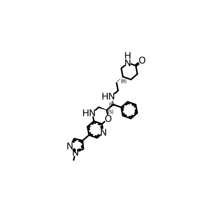 Cn1cc(-c2cnc3c(c2)NC[C@@H]([C@H](NCC[C@H]2CCC(=O)NC2)c2ccccc2)O3)cn1